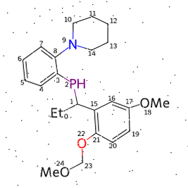 CCC(Pc1ccccc1N1CCCCC1)c1cc(OC)ccc1OCOC